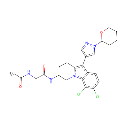 CC(=O)NCC(=O)NC1CCc2c(-c3cnn(C4CCCCO4)c3)c3ccc(Cl)c(Cl)c3n2C1